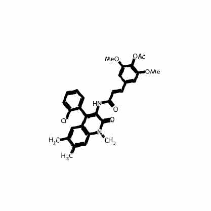 COc1cc(C=CC(=O)Nc2c(-c3ccccc3Cl)c3cc(C)c(C)cc3n(C)c2=O)cc(OC)c1OC(C)=O